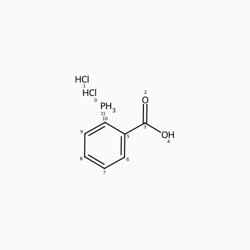 Cl.Cl.O=C(O)c1ccccc1.P